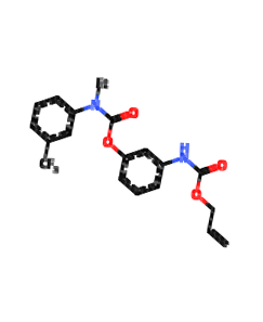 C=CCOC(=O)Nc1cccc(OC(=O)N(CC)c2cccc(C(F)(F)F)c2)c1